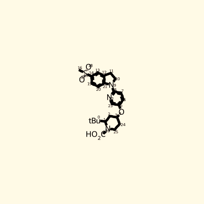 CC(C)(C)C1CC(Oc2ccc(N3CCc4cc(S(C)(=O)=O)ccc43)nc2)CCN1C(=O)O